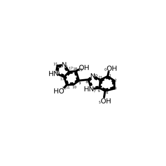 Oc1ccc(O)c2[nH]c(-c3cc(O)c4[nH]cnc4c3O)nc12